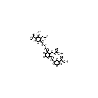 CCCc1c(OCCCOc2cccc(OCc3cccc(C(=O)O)c3)c2CCC(=O)O)ccc(C(C)=O)c1OC